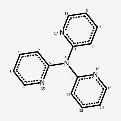 c1ccc(N(c2ccccn2)c2ccccn2)nc1